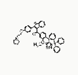 COc1cc(C(=O)c2c(-c3ccc(OCCN4CCCC4)cc3)sc3ccccc23)ccc1Cc1nnnn1C(c1ccccc1)(c1ccccc1)c1ccccc1